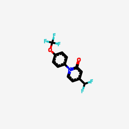 O=c1cc(C(F)F)ccn1-c1ccc(OC(F)(F)F)cc1